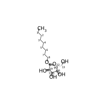 CCCCCCCCCO[C@H]1O[C@H](CO)[C@@H](O)[C@@H](O)[C@H]1O